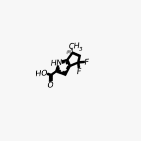 C[C@@H]1CC(F)(F)c2cc(C(=O)O)[nH]c21